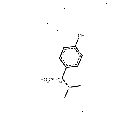 CN(C)[C@H](C(=O)O)c1ccc(O)cc1